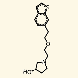 O[C@@H]1CCN(CCOCCc2ccc3ccsc3c2)C1